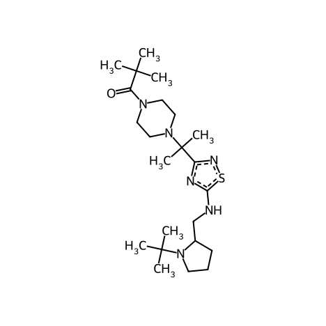 CC(C)(C)C(=O)N1CCN(C(C)(C)c2nsc(NCC3CCCN3C(C)(C)C)n2)CC1